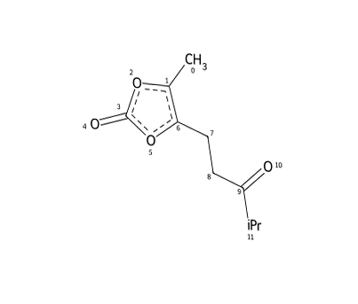 Cc1oc(=O)oc1CCC(=O)C(C)C